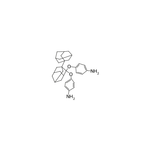 Nc1ccc(OC2(Oc3ccc(N)cc3)C3CC4CC(C3)CC2(C23CC5CC(CC(C5)C2)C3)C4)cc1